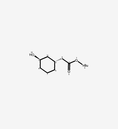 CCCCOC(=O)C[C@@H]1CCC[C@@H](O)C1